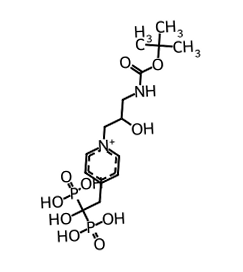 CC(C)(C)OC(=O)NCC(O)C[n+]1ccc(CC(O)(P(=O)(O)O)P(=O)(O)O)cc1